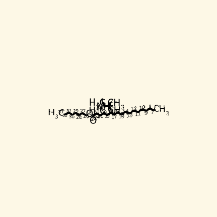 CC(C)C(C)C.CCCCCCCCCCCCCCCCCC(=O)OCCCCCCCC.N